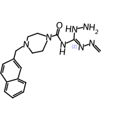 C=N/N=C(\NN)NC(=O)N1CCN(Cc2ccc3ccccc3c2)CC1